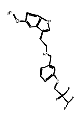 CCCOc1ccc2[nH]cc(CCNCc3cccc(OCC(F)(F)C(F)F)c3)c2c1